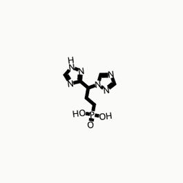 O=P(O)(O)CCC(c1nc[nH]n1)n1cncn1